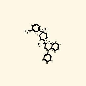 CC1(N2CCC(O)(c3cccc(C(F)(F)F)c3)CC2)CN(c2ccccc2)c2ccccc2O1